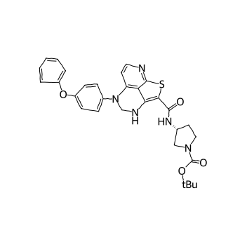 CC(C)(C)OC(=O)N1CC[C@@H](NC(=O)c2sc3nccc4c3c2NCN4c2ccc(Oc3ccccc3)cc2)C1